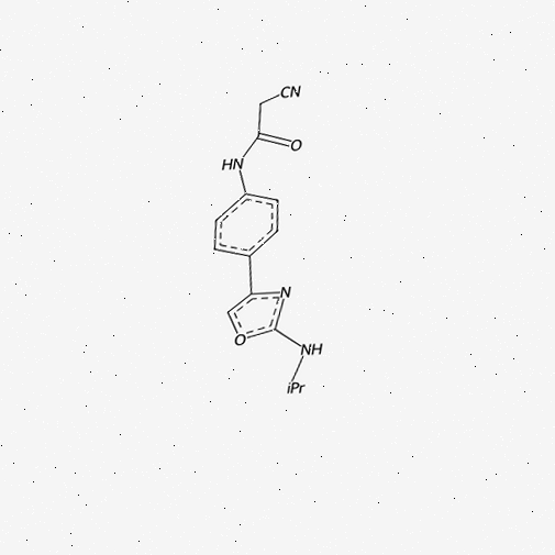 CC(C)Nc1nc(-c2ccc(NC(=O)CC#N)cc2)co1